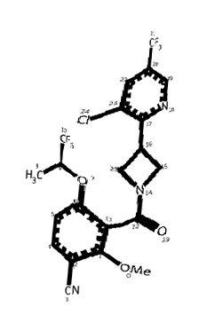 COc1c(C#N)ccc(O[C@@H](C)C(F)(F)F)c1C(=O)N1CC(c2ncc(C(F)(F)F)cc2Cl)C1